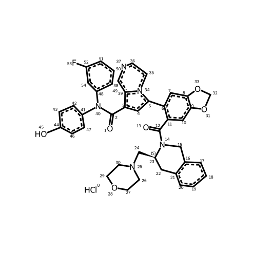 Cl.O=C(c1cc(-c2cc3c(cc2C(=O)N2Cc4ccccc4C[C@H]2CN2CCOCC2)OCO3)n2ccncc12)N(c1ccc(O)cc1)c1cccc(F)c1